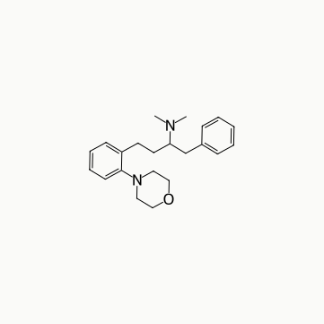 CN(C)C(CCc1ccccc1N1CCOCC1)Cc1ccccc1